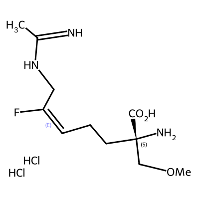 COC[C@@](N)(CC/C=C(/F)CNC(C)=N)C(=O)O.Cl.Cl